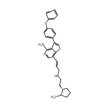 CN1CCC[C@@H]1CCNC/C=C/c1cnc(N)c2c(-c3ccc(Oc4ccccc4)cc3)csc12